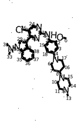 COc1cc(N2CCC(N3CCN(C)CC3)CC2)ccc1Nc1ncc(Cl)c(-c2cn(N(C)C)c3ccccc23)n1